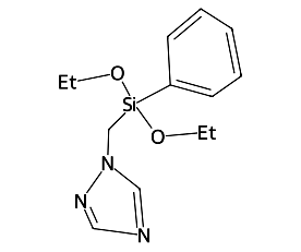 CCO[Si](Cn1cncn1)(OCC)c1ccccc1